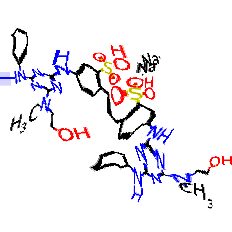 CN(CCO)c1nc(Nc2ccccc2)nc(Nc2ccc(C=Cc3ccc(Nc4nc(Nc5ccccc5)nc(N(C)CCO)n4)cc3S(=O)(=O)O)c(S(=O)(=O)O)c2)n1.[Na].[Na]